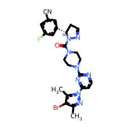 Cc1nn(-c2ccnc(N3CCN(C(=O)N4N=CC[C@H]4c4cc(F)cc(C#N)c4)CC3)n2)c(C)c1Br